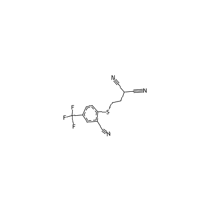 N#Cc1cc(C(F)(F)F)ccc1SCCC(C#N)C#N